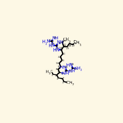 CCCCC(CC)C(CCCCCCC(NC(=N)NC(=N)N)C(CC)CCCC)NC(=N)NC(=N)N